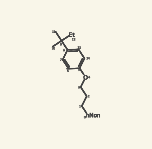 CCCCCCCCCCCCOc1[c]cc(C(C)(C)CC)cc1